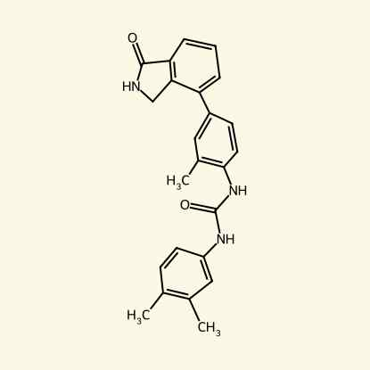 Cc1ccc(NC(=O)Nc2ccc(-c3cccc4c3CNC4=O)cc2C)cc1C